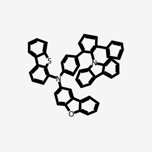 c1ccc(-c2cccc(-c3ccc(N(c4ccc5oc6ccccc6c5c4)c4cccc5c4sc4ccccc45)cc3)c2-n2c3ccccc3c3ccccc32)cc1